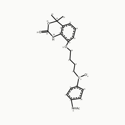 CC(=O)Nc1ccc([S+]([O-])CCCCOc2cccc3c2NC(=O)OC3(C)C)cc1